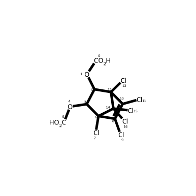 O=C(O)OC1C(OC(=O)O)C2(Cl)C(Cl)=C(Cl)C1(Cl)C2(Cl)Cl